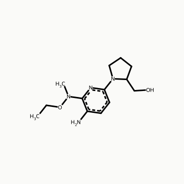 CCON(C)c1nc(N2CCCC2CO)ccc1N